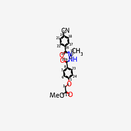 COC(=O)COc1ccc(C(=O)NN(C)C(=O)c2ccc(C#N)cc2)cc1